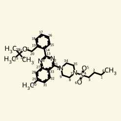 CCCCS(=O)(=O)N1CCN(c2nc(-c3ccccc3COC(C)(C)C)nc3cc(C)ccc23)CC1